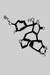 CC(C)Oc1ccc(C2(O)OC(=O)C(c3ccc4nsnc4c3)=C2Cc2ccco2)cc1F